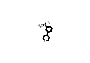 CN(C)c1cccc(C2CCOCC2)c1